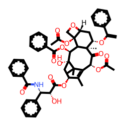 C=C(O[C@H]1C[C@H]2OC[C@@]2(OC(C)=O)C2[C@H](OC(=O)c3ccccc3)[C@]3(O)C[C@H](OC(=O)[C@H](O)[C@@H](NC(=O)c4ccccc4)c4ccccc4)C(C)=C([C@@H](OC(C)=O)C(=O)[C@@]21C)C3(C)C)c1ccccc1